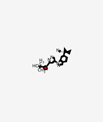 CC(C)(O)C12CC(C1)N(c1cc(-n3ncc4ccc([C@@]5(C#N)CC56CC6)cc43)cnn1)C2